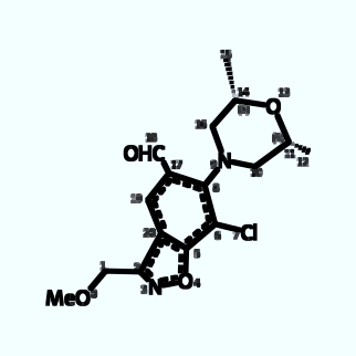 COCc1noc2c(Cl)c(N3C[C@@H](C)O[C@@H](C)C3)c(C=O)cc12